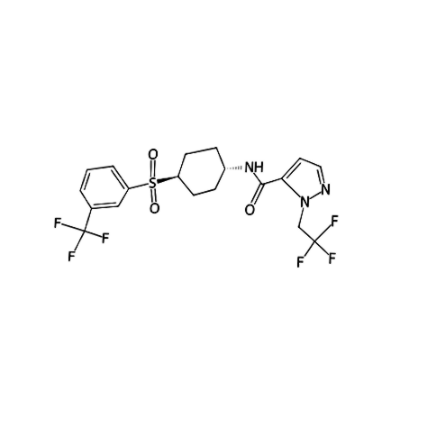 O=C(N[C@H]1CC[C@H](S(=O)(=O)c2cccc(C(F)(F)F)c2)CC1)c1ccnn1CC(F)(F)F